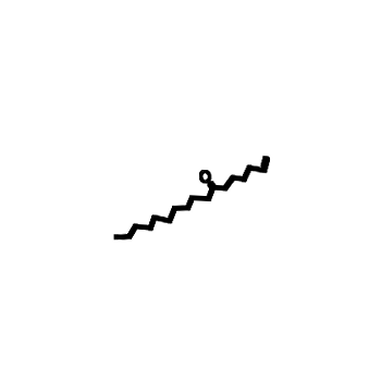 C=CCCCCC(=O)CCCCCCCCCC